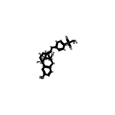 CN1CC[C@]2(C)c3cc(O)ccc3C[C@@H]1[C@@H]2NCCc1ccc(S(N)(=O)=O)cc1